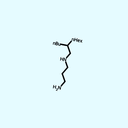 CCCCCCC(CCCC)CNCCCN